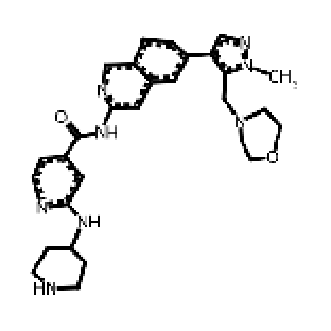 Cn1ncc(-c2ccc3cnc(NC(=O)c4ccnc(NC5CCNCC5)c4)cc3c2)c1CN1CCOCC1